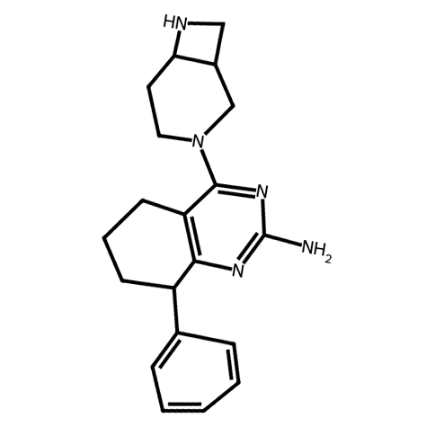 Nc1nc2c(c(N3CCC4NCC4C3)n1)CCCC2c1ccccc1